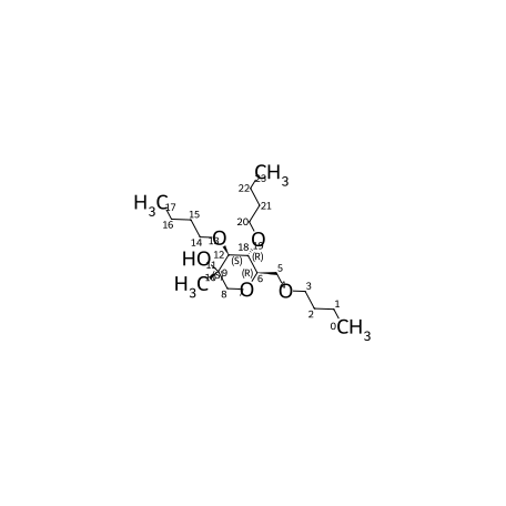 CCCCOC[C@H]1OC[C@](C)(O)[C@@H](OCCCC)[C@@H]1OCCCC